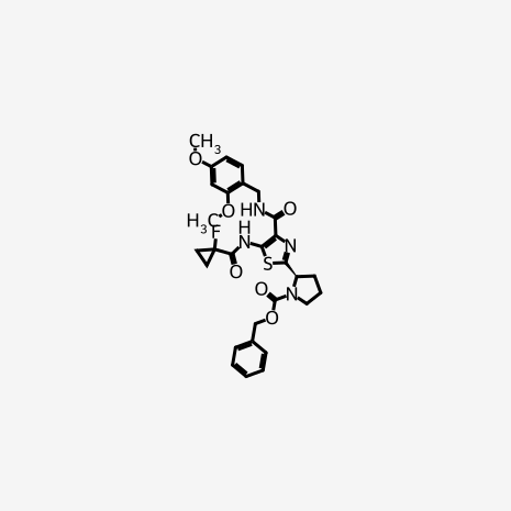 COc1ccc(CNC(=O)c2nc([C@H]3CCCN3C(=O)OCc3ccccc3)sc2NC(=O)C2(F)CC2)c(OC)c1